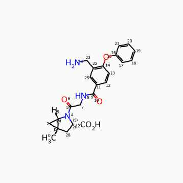 C[C@@]12C[C@@H]1N(C(=O)CNC(=O)c1ccc(Oc3ccccc3)c(CN)c1)[C@H](C(=O)O)C2